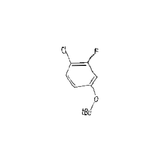 CC(C)(C)Oc1ccc(Cl)c(F)c1